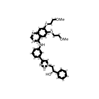 COCCOc1cc2ncnc(Nc3cccc(-c4cn(C[C@@H](O)c5ccccc5)nn4)c3)c2cc1OCCOC